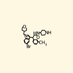 Cc1cccc(C(CC(=O)NC2CCNCC2)c2cn(CC3CCOCC3)c3ccc(Br)cc23)c1